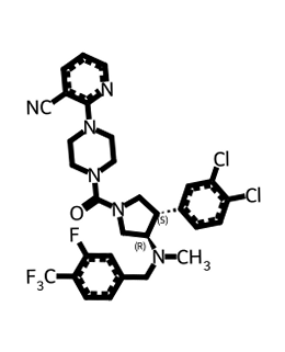 CN(Cc1ccc(C(F)(F)F)c(F)c1)[C@H]1CN(C(=O)N2CCN(c3ncccc3C#N)CC2)C[C@@H]1c1ccc(Cl)c(Cl)c1